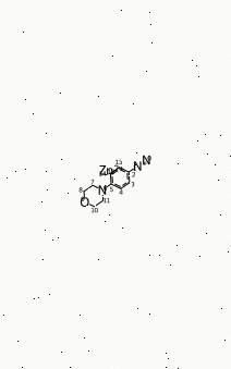 N#[N+]c1ccc(N2CCOCC2)cc1.[Zn+2]